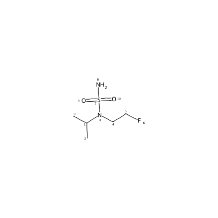 CC(C)N(CCF)S(N)(=O)=O